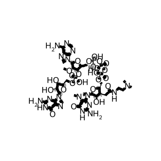 CO[C@@H]1[C@H](OP(=O)(O)OC[C@H]2O[C@@H](n3cnc4c(=O)[nH]c(N)nc43)[C@H](O)[C@@H]2O)C(COP(=O)(O)OP(=O)(O)OP(=O)(O)OC[C@H]2OC(n3c[n+](C)c4c(=O)[nH]c(N)nc43)[C@H](O)[C@@H]2CC(=O)NCCN(C)C)O[C@H]1n1cnc2c(N)ncnc21